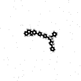 CC1(C)c2cc(-c3ccc(-c4ccc(-c5cc(-c6ccc(-c7ccccc7)nc6)nc(-c6ccccc6)n5)cc4)cc3)ccc2-c2ccc3ccccc3c21